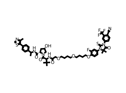 Cc1ncsc1-c1ccc(C(C)NC(=O)[C@@H]2C[C@@H](O)CN2C(=O)C(NC(=O)COCCCCOCCCCOc2ccc(N3C(=S)N(c4ccc(C#N)c(C(F)(F)F)c4)C(=O)C3(C)C)cc2F)C(C)(C)C)cc1